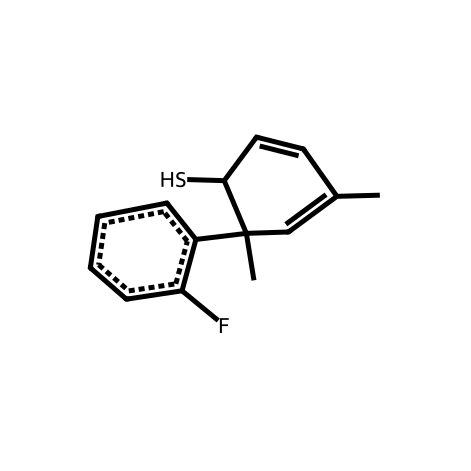 CC1=CC(C)(c2ccccc2F)C(S)C=C1